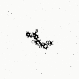 CC(C)(C)OC(=O)N1CCCC(C(=O)Nc2cc(-c3ccc4c(C#N)cn(Cc5ccccc5)c4c3)c(Cl)cn2)C1